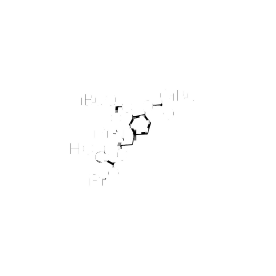 CC(C)COC(=O)Oc1ccc(C[C@](NC(C)C)(OC(=O)OC(C)C)C(=O)O)cc1OC(=O)OCC(C)C